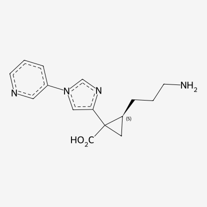 NCCC[C@H]1CC1(C(=O)O)c1cn(-c2cccnc2)cn1